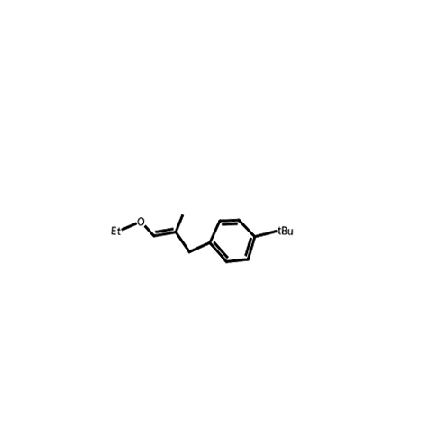 CCO/C=C(\C)Cc1ccc(C(C)(C)C)cc1